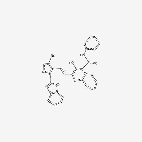 [C-]#[N+]c1cnn(-c2nc3ccccc3o2)c1/N=N/c1cc2ccccc2c(C(=O)Nc2ccccc2)c1O